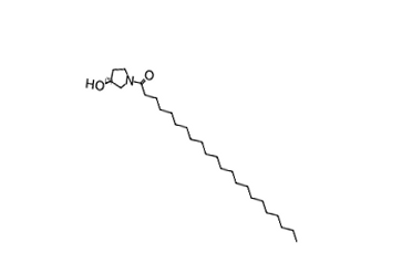 CCCCCCCCCCCCCCCCCCCCCC(=O)N1CC[C@H](O)C1